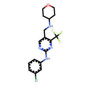 FC(F)(F)c1nc(Nc2cccc(Cl)c2)ncc1CNC1CCOCC1